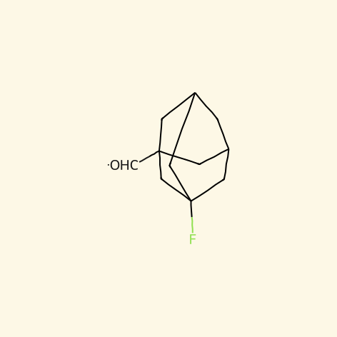 O=[C]C12CC3CC(CC(F)(C3)C1)C2